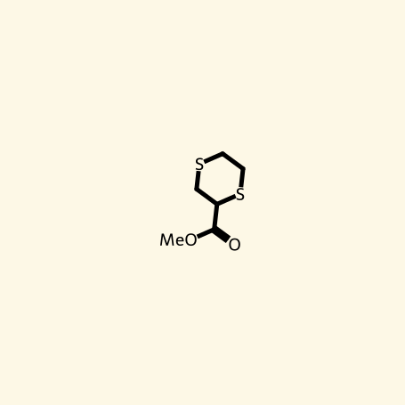 COC(=O)C1CSCCS1